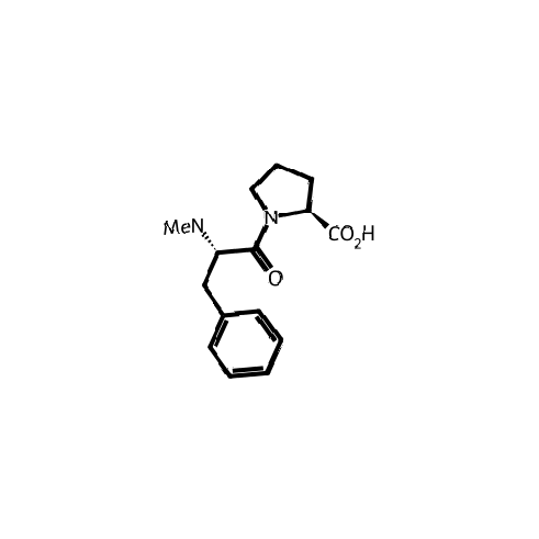 CN[C@@H](Cc1ccccc1)C(=O)N1CCC[C@H]1C(=O)O